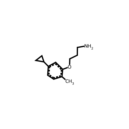 Cc1ccc(C2CC2)cc1OCCCN